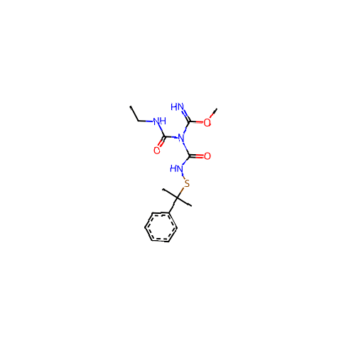 CCNC(=O)N(C(=N)OC)C(=O)NSC(C)(C)c1ccccc1